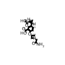 NC(=O)CN1CC(Oc2ccc3c(c2C(=O)O)OB(O)[C@@H]2C[C@H]32)C1